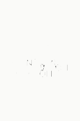 O[C@H]1[C@H](N2CCCC2)CCC[C@@H]1O